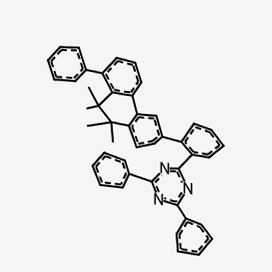 CC1(C)c2ccc(-c3ccccc3-c3nc(-c4ccccc4)nc(-c4ccccc4)n3)cc2-c2cccc(-c3ccccc3)c2C1(C)C